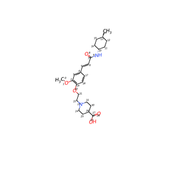 COc1cc(/C=C/C(=O)N[C@H]2CC[C@H](C)CC2)ccc1OCCN1CCC(C(=O)O)CC1